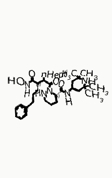 CCCCCCCC(C(=O)N1NCCC[C@H]1C(=O)NC1CC(C)(C)NC(C)(C)C1)[C@@H](CCCc1ccccc1)C(=O)NO